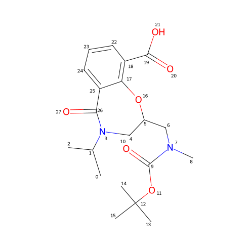 CC(C)N1CC(CN(C)C(=O)OC(C)(C)C)Oc2c(C(=O)O)cccc2C1=O